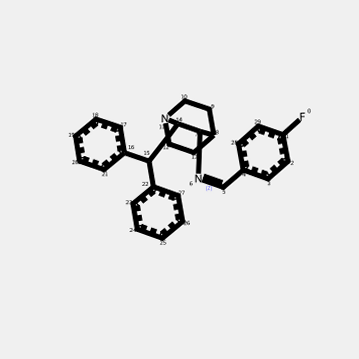 Fc1ccc(/C=N\C2C3CCN(CC3)C2C(c2ccccc2)c2ccccc2)cc1